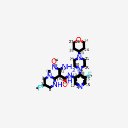 CN1CC(F)CNC1C(C(=O)Nc1cncc(F)c1N1CCN(C2CCOCC2)CC1)C(N)N=O